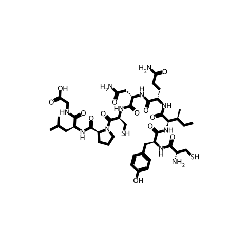 CC[C@H](C)[C@H](NC(=O)[C@H](Cc1ccc(O)cc1)NC(=O)[C@@H](N)CS)C(=O)N[C@@H](CCC(N)=O)C(=O)N[C@@H](CC(N)=O)C(=O)N[C@@H](CS)C(=O)N1CCC[C@H]1C(=O)N[C@@H](CC(C)C)C(=O)NCC(=O)O